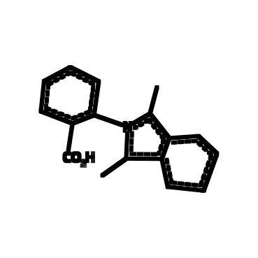 Cc1c2ccccc2c(C)n1-c1ccccc1C(=O)O